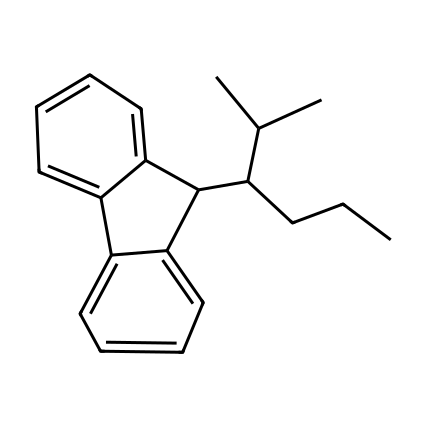 CCCC(C(C)C)C1c2ccccc2-c2ccccc21